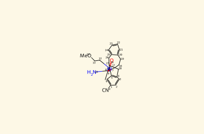 [C-]#[N+]c1ccc2c(c1)C1(N=C(N)N(CCOC)C1=O)C1(CCc3ccccc3CC1)C2